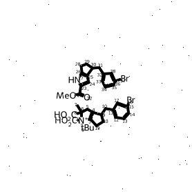 CC(C)(C)[N+]1(C(=O)O)C2=C(CC1(C)C(=O)O)C(Cc1cccc(Br)c1)CC2.COC(=O)c1cc2c([nH]1)CCC2Cc1cccc(Br)c1